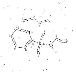 C=CC=C.C=COS(=O)(=O)c1ccccn1